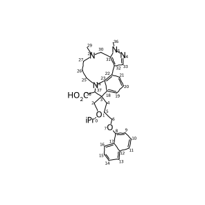 CC(C)OCC1(CCCOc2cccc3ccccc23)c2cccc3c2N(CCCN(C)Cc2c-3cnn2C)C1C(=O)O